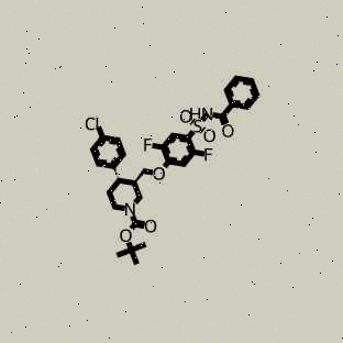 CC(C)(C)OC(=O)N1CC[C@H](c2ccc(Cl)cc2)[C@@H](COc2cc(F)c(S(=O)(=O)NC(=O)c3ccccc3)cc2F)C1